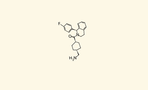 NC[C@H]1CC[C@@H](C(=O)N2CCc3ccccc3[C@@H]2c2ccc(F)cc2)CC1